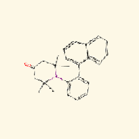 CC1(C)CC(=O)CC(C)(C)P1c1ccccc1-c1cccc2ccccc12